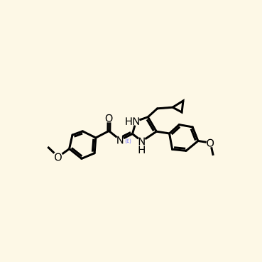 COc1ccc(C(=O)/N=c2\[nH]c(CC3CC3)c(-c3ccc(OC)cc3)[nH]2)cc1